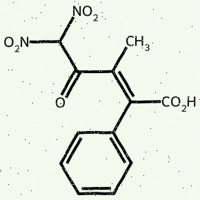 CC(C(=O)C([N+](=O)[O-])[N+](=O)[O-])=C(C(=O)O)c1ccccc1